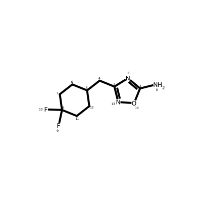 Nc1nc(CC2CCC(F)(F)CC2)no1